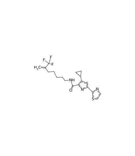 C=C(CCCCCNC(=O)c1nc(-c2nccs2)sc1C1CC1)C(F)(F)F